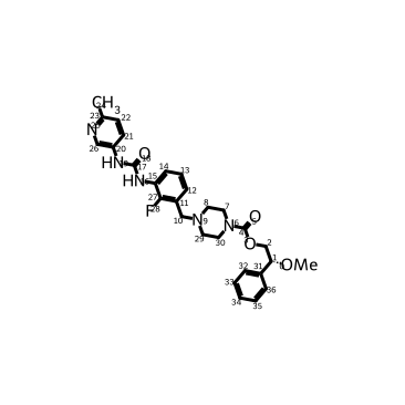 CO[C@@H](COC(=O)N1CCN(Cc2cccc(NC(=O)Nc3ccc(C)nc3)c2F)CC1)c1ccccc1